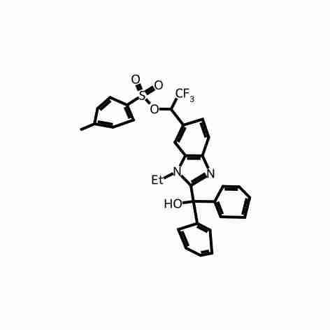 CCn1c(C(O)(c2ccccc2)c2ccccc2)nc2ccc(C(OS(=O)(=O)c3ccc(C)cc3)C(F)(F)F)cc21